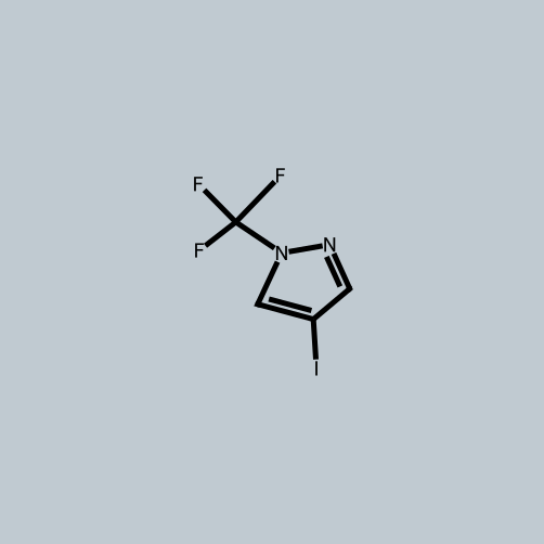 FC(F)(F)n1cc(I)cn1